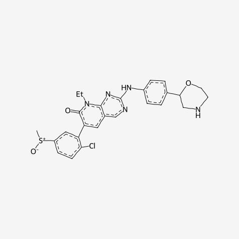 CCn1c(=O)c(-c2cc([S+](C)[O-])ccc2Cl)cc2cnc(Nc3ccc(C4CNCCO4)cc3)nc21